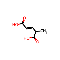 CC(C=CC(=O)O)C(=O)O